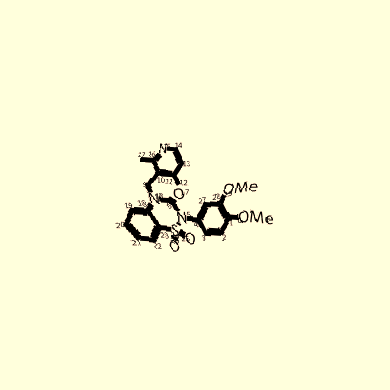 COc1ccc(N2C(=O)N(Cc3c(C)ccnc3C)c3ccccc3S2(=O)=O)cc1OC